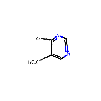 CC(=O)c1ncncc1C(=O)O